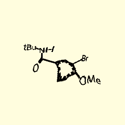 COc1ccc(C(=O)NC(C)(C)C)cc1Br